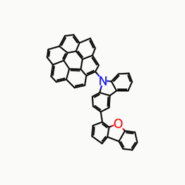 c1ccc2c(c1)oc1c(-c3ccc4c(c3)c3ccccc3n4-c3cc4ccc5ccc6ccc7ccc8ccc3c3c8c7c6c5c43)cccc12